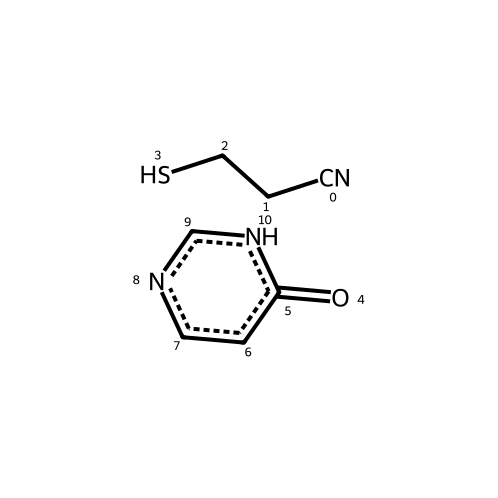 N#CCCS.O=c1ccnc[nH]1